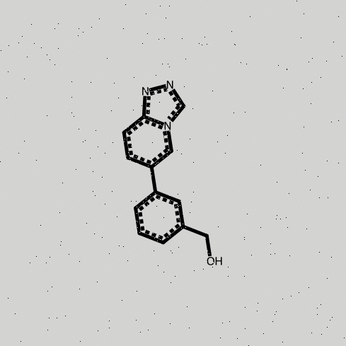 OCc1cccc(-c2ccc3nncn3c2)c1